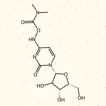 CN(C)C(=O)ONc1ccn([C@@H]2O[C@H](CO)[C@H](O)C2O)c(=O)n1